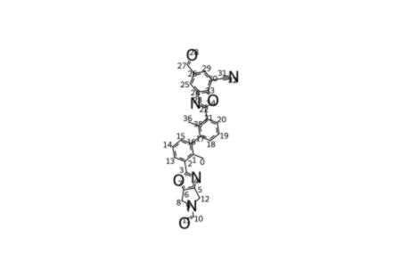 Cc1c(-c2nc3c(o2)CN(C=O)C3)cccc1-c1cccc(-c2nc3cc(C=O)cc(C#N)c3o2)c1C